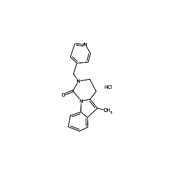 Cc1c2n(c3ccccc13)C(=O)N(Cc1ccncc1)CC2.Cl